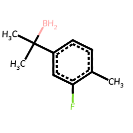 BC(C)(C)c1ccc(C)c(F)c1